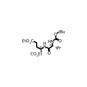 CCOC(=O)CC[C@@H](NC(=O)[C@H](NC(=O)OC(C)(C)C)C(C)C)C(=O)OCC